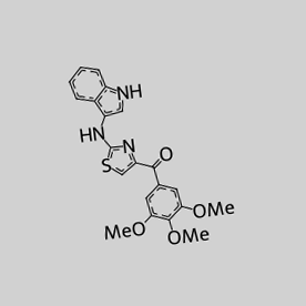 COc1cc(C(=O)c2csc(Nc3c[nH]c4ccccc34)n2)cc(OC)c1OC